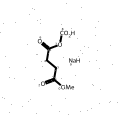 COC(=O)CCC(=O)OC(=O)O.[NaH]